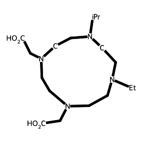 CCN1CCN(CC(=O)O)CCN(CC(=O)O)CCN(C(C)C)CC1